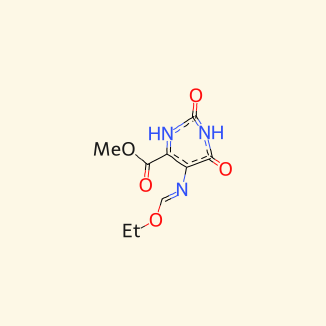 CCOC=Nc1c(C(=O)OC)[nH]c(=O)[nH]c1=O